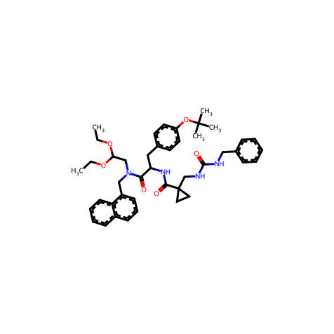 CCOC(CN(Cc1cccc2ccccc12)C(=O)C(Cc1ccc(OC(C)(C)C)cc1)NC(=O)C1(CNC(=O)NCc2ccccc2)CC1)OCC